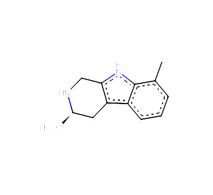 Cc1cccc2c3c([nH]c12)CN[C@H](C(=O)O)C3